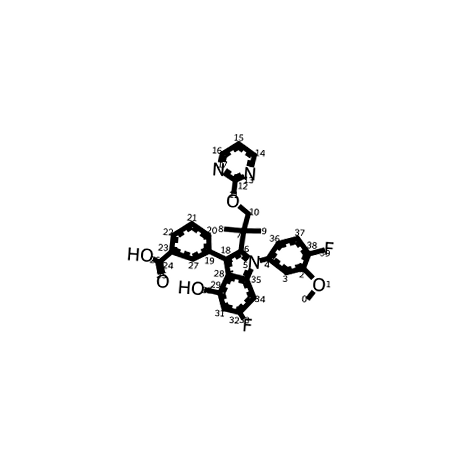 COc1cc(-n2c(C(C)(C)COc3ncccn3)c(-c3cccc(C(=O)O)c3)c3c(O)cc(F)cc32)ccc1F